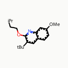 COc1ccc2cc(C(C)(C)C)c(OCCC(C)C)nc2c1